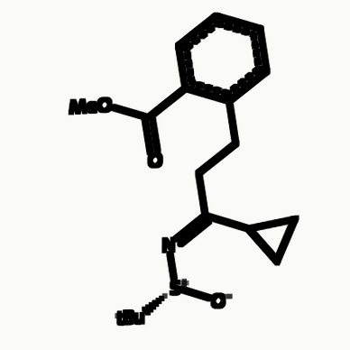 COC(=O)c1ccccc1CC/C(=N/[S@+]([O-])C(C)(C)C)C1CC1